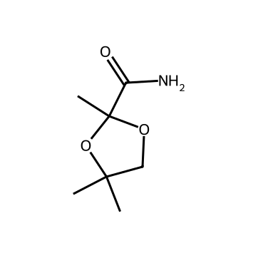 CC1(C)COC(C)(C(N)=O)O1